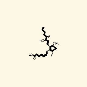 CCCCC(F)[C@H](O)/C=C/[C@@H]1[C@@H](C/C=C\CCCC(=O)OC)[C@@H](F)C[C@H]1O